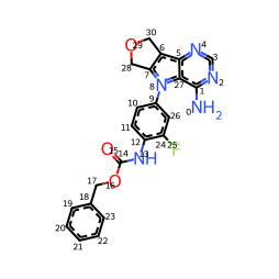 Nc1ncnc2c3c(n(-c4ccc(NC(=O)OCc5ccccc5)c(F)c4)c12)COC3